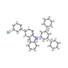 Brc1cccc(-c2ccc3c(c2)c2ccccc2n3-c2cc(-c3ccccc3)cc(-c3ccccc3)c2)c1